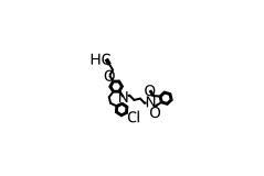 C#CCOc1ccc2c(c1)CCc1ccc(Cl)cc1N2CCCCN1C(=O)c2ccccc2C1=O